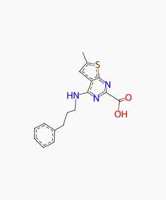 Cc1cc2c(NCCCc3ccccc3)nc(C(=O)O)nc2s1